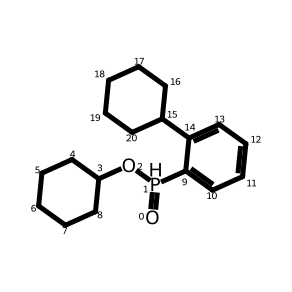 O=[PH](OC1CCCCC1)c1ccccc1C1CCCCC1